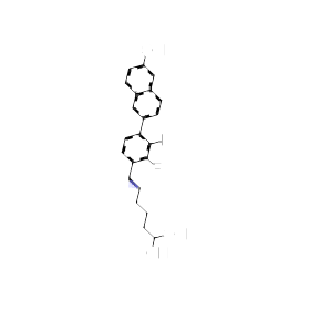 CC(O)CCC/C=C/c1ccc(-c2ccc3cc(O)ccc3c2)c(F)c1F